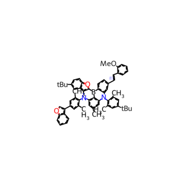 COc1ccccc1/C=C/c1ccc2c(c1)N(c1c(C)cc(C(C)(C)C)cc1C)c1cc(C)cc3c1B2c1oc2ccc(C(C)(C)C)cc2c1N3c1c(C)cc(-c2coc3ccccc23)cc1C